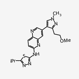 COCCc1nn(C)cc1-c1cnc2ccc(Nc3nnc(C(C)C)s3)nc2c1